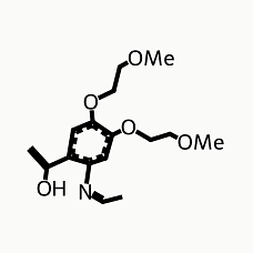 C=C(O)c1cc(OCCOC)c(OCCOC)cc1/N=C\C